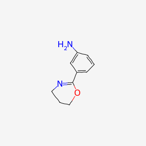 Nc1cccc(C2=NCCCO2)c1